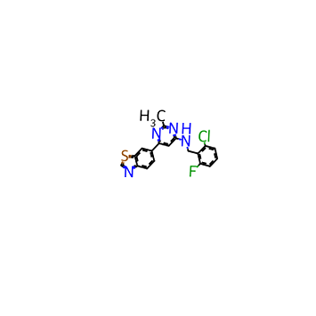 Cc1nc(NCc2c(F)cccc2Cl)cc(-c2ccc3ncsc3c2)n1